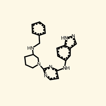 c1ccc(CNC2CCCN(c3nccc(Nc4ccc5[nH]ncc5c4)n3)C2)cc1